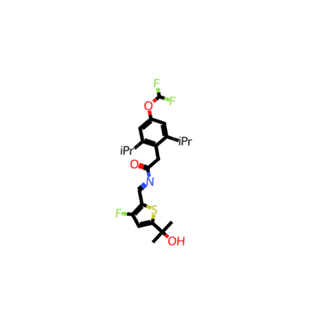 CC(C)c1cc(OC(F)F)cc(C(C)C)c1CC(=O)N=Cc1sc(C(C)(C)O)cc1F